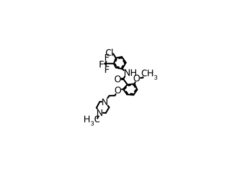 CCOc1cccc(OCCN2CCN(C)CC2)c1C(=O)Nc1ccc(Cl)c(C(F)(F)F)c1